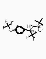 CC(C)(C)[S@@+]([O-])N[C@H](c1ccc(OC(F)(F)F)cc1)C(F)(F)F